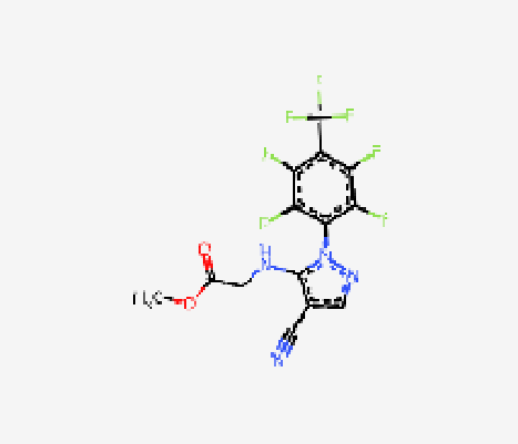 COC(=O)CNc1c(C#N)cnn1-c1c(F)c(F)c(C(F)(F)F)c(F)c1F